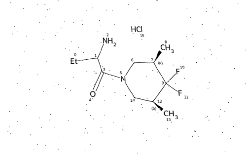 CCC(N)C(=O)N1C[C@@H](C)C(F)(F)[C@@H](C)C1.Cl